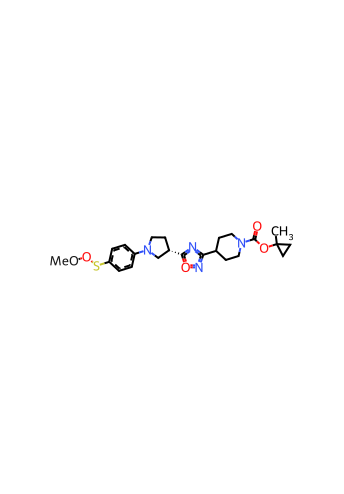 COOSc1ccc(N2CC[C@H](c3nc(C4CCN(C(=O)OC5(C)CC5)CC4)no3)C2)cc1